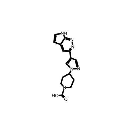 O=C(O)N1CCC(n2cc(-c3cc4cc[nH]c4nn3)cn2)CC1